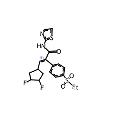 CCS(=O)(=O)c1ccc(/C(=C\C2CC(F)C(F)C2)C(=O)Nc2nccs2)cc1